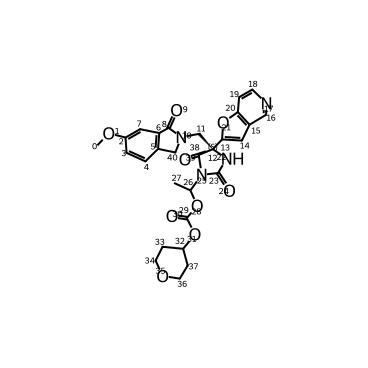 COc1ccc2c(c1)C(=O)N(C[C@@]1(c3cc4cnccc4o3)NC(=O)N(C(C)OC(=O)OC3CCOCC3)C1=O)C2